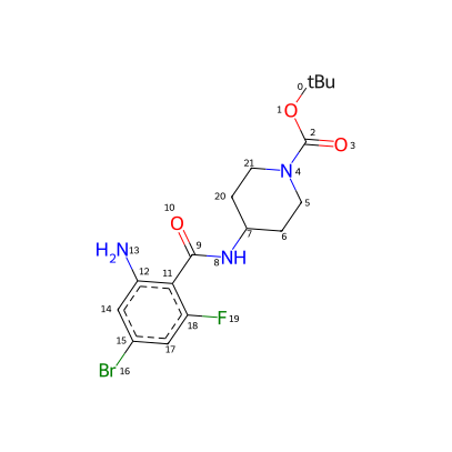 CC(C)(C)OC(=O)N1CCC(NC(=O)c2c(N)cc(Br)cc2F)CC1